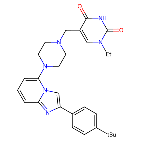 CCn1cc(CN2CCN(c3cccc4nc(-c5ccc(C(C)(C)C)cc5)cn34)CC2)c(=O)[nH]c1=O